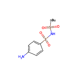 CCCCS(=O)(=O)NS(=O)(=O)c1ccc(N)cc1